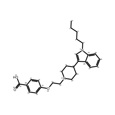 CCCCCn1cc(C2CCN(CCOc3ccc(C(=O)O)cc3)CC2)c2ccccc21